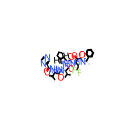 CC(C)[C@H](NC(=O)[C@H](NC(=O)c1cnccn1)C(C)C)C(=O)N1C[C@@H]2CCC[C@@H]2[C@H]1C(=O)NC(CC(F)F)C(=O)C(=O)N[C@@H](C)c1ccccc1